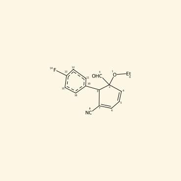 CCOC1(C=O)C=CC=C(C#N)C1c1ccc(F)cc1